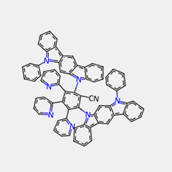 N#Cc1c(-n2c3ccccc3c3cc4c5ccccc5n(-c5ccccc5)c4cc32)c(-c2ccccn2)c(-c2ccccn2)c(-c2ccccn2)c1-n1c2ccccc2c2cc3c4ccccc4n(-c4ccccc4)c3cc21